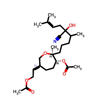 CC(=O)OC/C=C1\CC[C@@H](OC(C)=O)[C@](C)(CCCC(C)C(O)(C#N)CC=C(C)C)OC1